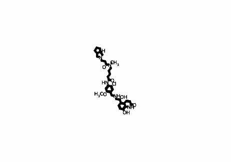 COc1cc(NC(=O)CCCCN(C)C(=O)CCN2CC3CCC[C@@H]3C2)c(Cl)cc1CNC[C@H](O)c1ccc(O)c2[nH]c(=O)ccc12